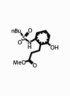 CCCCS(=O)(=O)Nc1cccc(O)c1CCC(=O)OC